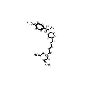 CCN([C@H]1CC[C@H](OCCCCN(CCO)CCO)CC1)S(=O)(=O)c1ccc(C(F)(F)F)cc1